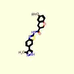 COc1ccc2c(c1)CC(C(=O)Nc1nc3ccc(-c4c[nH]nc4C)cc3s1)CO2